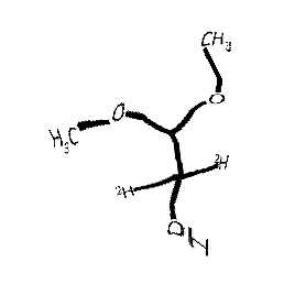 [2H]C([2H])(O)C(OC)OC